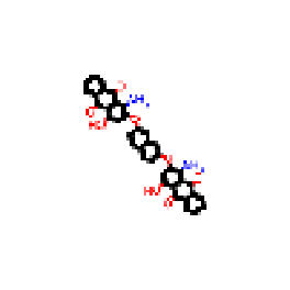 Nc1c(Oc2ccc3ccc(Oc4cc(O)c5c(c4N)C(=O)c4ccccc4C5=O)cc3c2)cc(O)c2c1C(=O)c1ccccc1C2=O